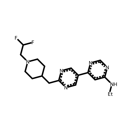 CCNc1cc(-c2cnc(CC3CCN(CC(F)F)CC3)nc2)ncn1